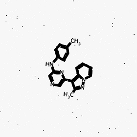 Cc1ccc(Nc2cncc(-c3c(C)nn4ccccc34)n2)cc1